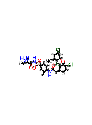 Cc1cc(S(=O)(=O)NC(=O)C(N)C(C)C)ccc1NC(=O)Cc1ccc(Cl)c(Oc2cc(Cl)cc(C#N)c2)c1F